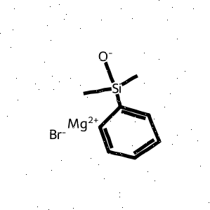 C[Si](C)([O-])c1ccccc1.[Br-].[Mg+2]